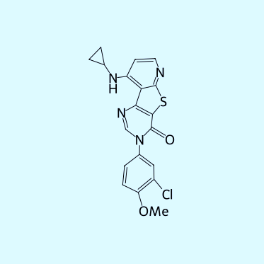 COc1ccc(-n2cnc3c(sc4nccc(NC5CC5)c43)c2=O)cc1Cl